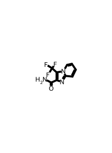 NC(=O)c1nc2ccccn2c1C(F)(F)F